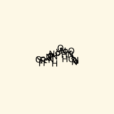 COc1ccc(-c2cnc3c(Nc4ccc(C(=O)N5CCC(C(=O)NCC(O)Cn6cccn6)CC5)c(C)c4)nccn23)c(F)c1F